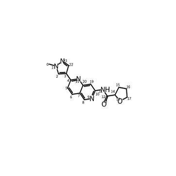 Cn1cc(-c2ccc3cnc(NC(=O)C4CCCO4)cc3n2)cn1